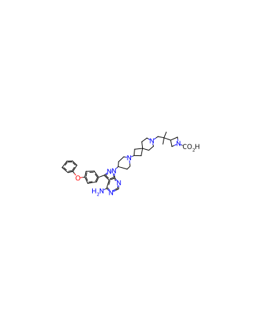 CC(C)(CN1CCC2(CC1)CC(N1CCC(n3nc(-c4ccc(Oc5ccccc5)cc4)c4c(N)ncnc43)CC1)C2)C1CN(C(=O)O)C1